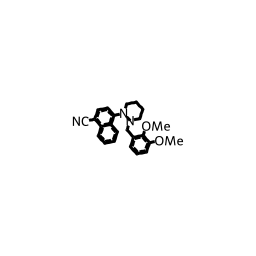 COc1cccc(CN2CCCCN2c2ccc(C#N)c3ccccc23)c1OC